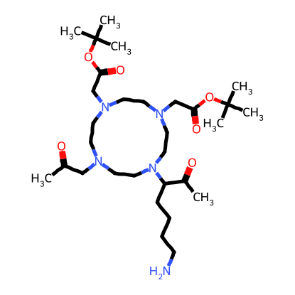 CC(=O)CN1CCN(CC(=O)OC(C)(C)C)CCN(CC(=O)OC(C)(C)C)CCN(C(CCCCN)C(C)=O)CC1